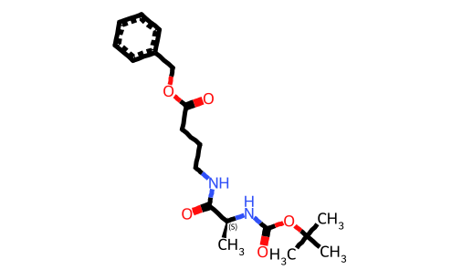 C[C@H](NC(=O)OC(C)(C)C)C(=O)NCCCC(=O)OCc1ccccc1